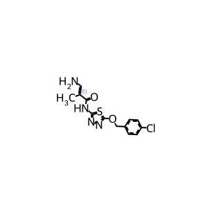 C/C(=C\N)C(=O)Nc1nnc(OCc2ccc(Cl)cc2)s1